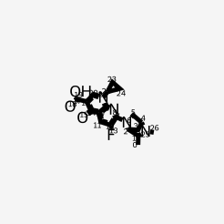 CC1C2CC(CN2c2nc3c(cc2F)c(=O)c(C(=O)O)cn3C2CC2)N1C